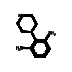 Nc1ccnc(N)c1C1CCNCC1